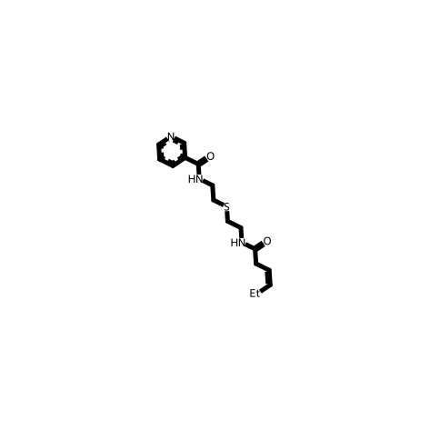 CC/C=C\CC(=O)NCCSCCNC(=O)c1cccnc1